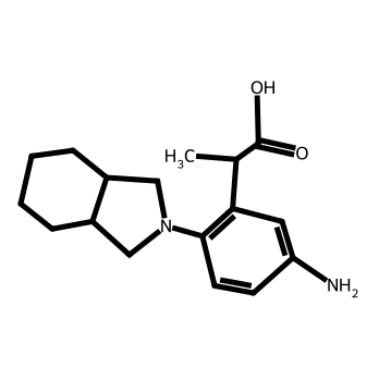 CC(C(=O)O)c1cc(N)ccc1N1CC2CCCCC2C1